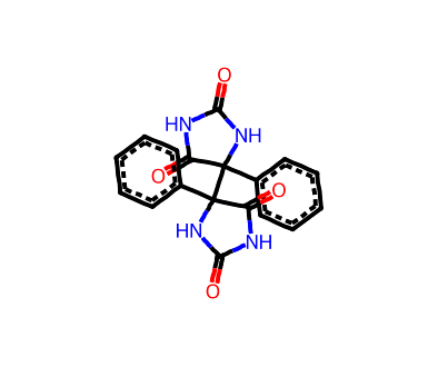 O=C1NC(=O)C(c2ccccc2)(C2(c3ccccc3)NC(=O)NC2=O)N1